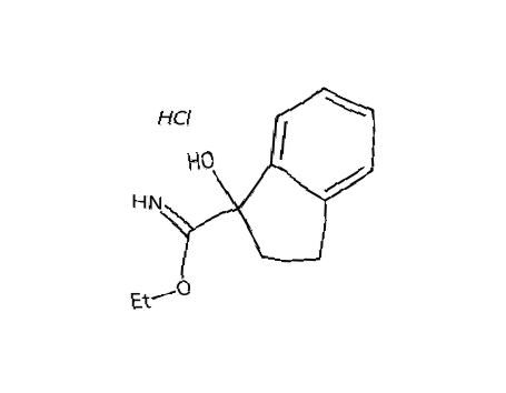 CCOC(=N)C1(O)CCc2ccccc21.Cl